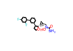 NC(=O)N(O)C[C@@H]1C[C@H]1c1occc1-c1cccc(-c2ccc(F)cc2F)c1